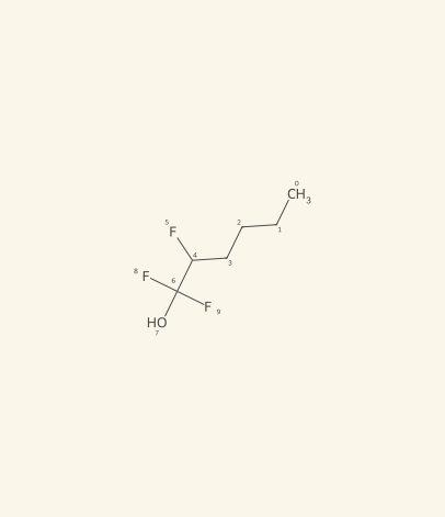 CCCCC(F)C(O)(F)F